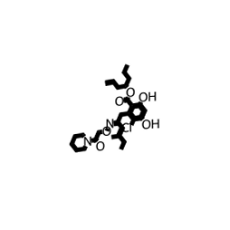 C=CCC(CCC)OC(=O)c1c(O)cc(O)c(Cl)c1CC(/C=C(\C)CC)=N/OCC(=O)N1CCCCC1